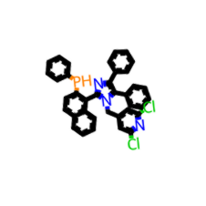 Clc1cc(Cn2c(-c3c(Pc4ccccc4)ccc4ccccc34)nc(-c3ccccc3)c2-c2ccccc2)cc(Cl)n1